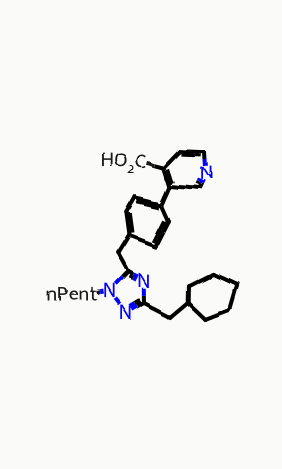 CCCCCn1nc(CC2CCCCC2)nc1Cc1ccc(-c2cnccc2C(=O)O)cc1